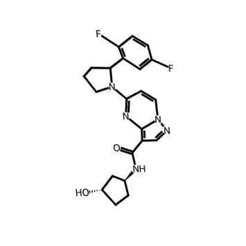 O=C(N[C@H]1CC[C@H](O)C1)c1cnn2ccc(N3CCCC3c3cc(F)ccc3F)nc12